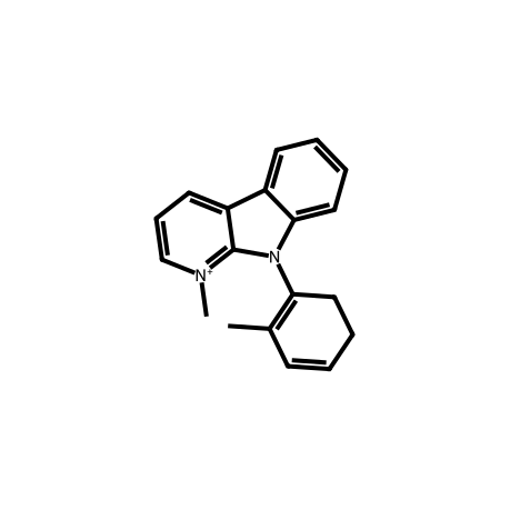 CC1=C(n2c3ccccc3c3ccc[n+](C)c32)CCC=C1